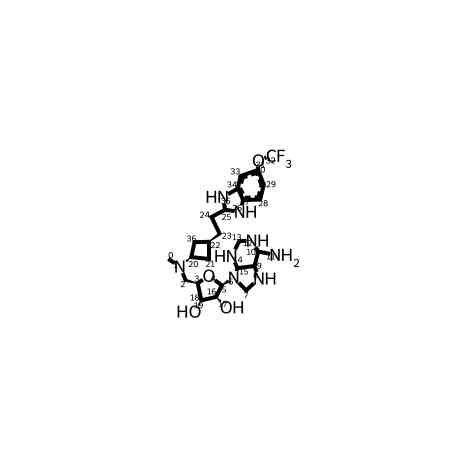 CN(C[C@H]1O[C@@H](N2CNC3C(N)NCNC32)[C@H](O)[C@@H]1O)[C@H]1C[C@H](CCC2Nc3ccc(OC(F)(F)F)cc3N2)C1